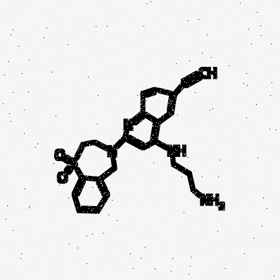 C#Cc1ccc2nc(N3CCS(=O)(=O)c4ccccc4C3)cc(NCCCN)c2c1